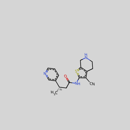 C[C@@H](CC(=O)Nc1sc2c(c1C#N)CCNC2)c1cccnc1